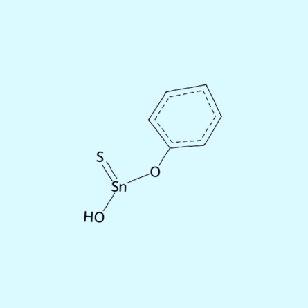 [OH][Sn](=[S])[O]c1ccccc1